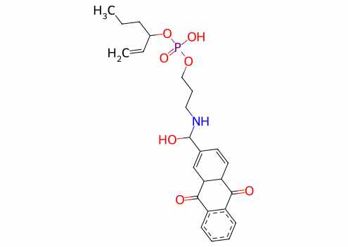 C=CC(CCC)OP(=O)(O)OCCCNC(O)C1=CC2C(=O)c3ccccc3C(=O)C2C=C1